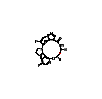 O=C1N[C@H]2C[C@@H](C2)Oc2ncc(F)cc2[C@H]2CCCN2c2nc3c1cnn3cc2F